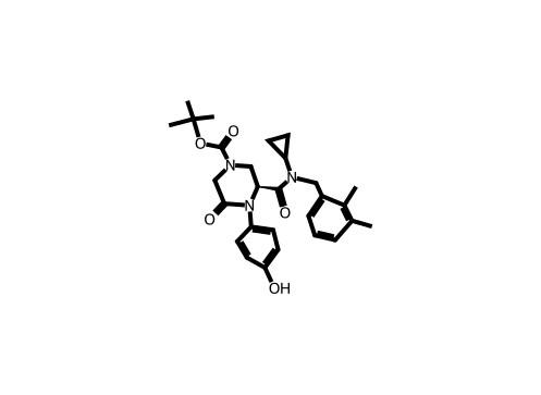 Cc1cccc(CN(C(=O)[C@@H]2CN(C(=O)OC(C)(C)C)CC(=O)N2c2ccc(O)cc2)C2CC2)c1C